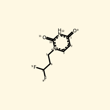 O=c1ccn(CCC(F)F)c(=O)[nH]1